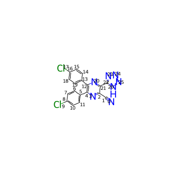 N#Cc1nc(-c2ccc(Cl)cc2)c(-c2ccc(Cl)cc2)nc1-c1nnn[nH]1